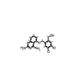 Nc1nc(N)c2c(OCc3cc(Cl)c(Cl)cc3CO)cccc2n1